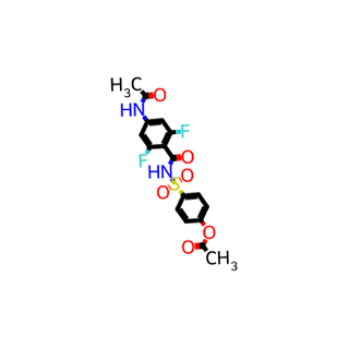 CC(=O)Nc1cc(F)c(C(=O)NS(=O)(=O)c2ccc(OC(C)=O)cc2)c(F)c1